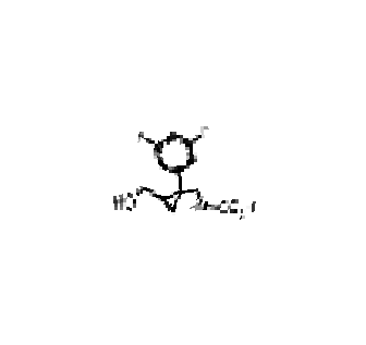 O=C(O)NCC1(c2cc(F)cc(F)c2)CC1CO